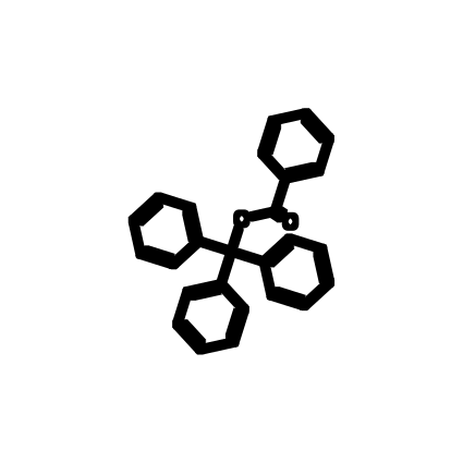 O=C(OC(c1ccccc1)(c1ccccc1)c1ccccc1)c1ccccc1